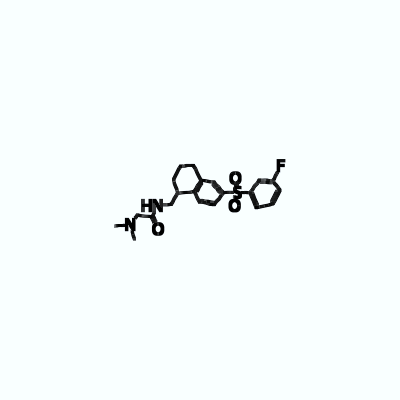 CN(C)CC(=O)NCC1CCCc2cc(S(=O)(=O)c3cccc(F)c3)ccc21